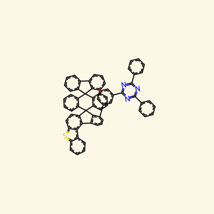 c1ccc(-c2nc(-c3ccccc3)nc(-c3cccc(-c4cccc5c4C4(c6ccccc6C6(c7ccccc7-c7ccccc76)c6ccccc64)c4ccc6sc7ccccc7c6c4-5)c3)n2)cc1